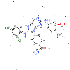 C[C@@H]1CCC(Nc2ncc3nc(Nc4ccc(Cl)cc4Cl)n([C@H]4CC[C@@H](C(N)=O)CC4)c3n2)C[C@H]1O